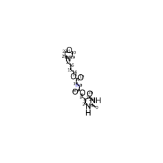 C=C1NC=C(COC(=O)/C=C/C(=O)OCCCCN2CCOCC2)C(=O)N1